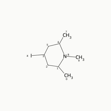 CC1CC(I)CC(C)N1C